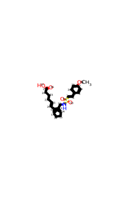 COc1ccc(/C=C/S(=O)(=O)NCC2C3CCC(C3)C2/C=C/CCCC(=O)O)cc1